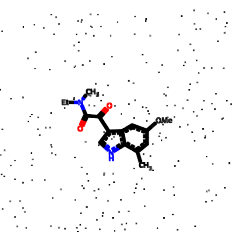 CCN(C)C(=O)C(=O)c1c[nH]c2c(C)cc(OC)cc12